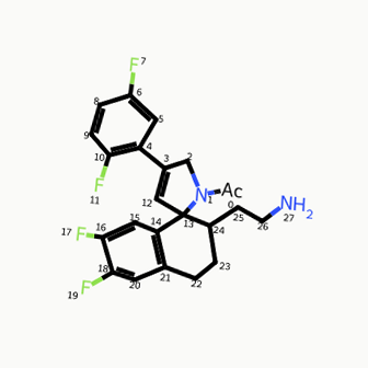 CC(=O)N1CC(c2cc(F)ccc2F)=CC12c1cc(F)c(F)cc1CCC2CCN